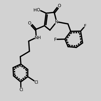 O=C(NCCCc1ccc(Cl)c(Cl)c1)C1=C(O)C(=O)N(Cc2c(F)cccc2F)C1